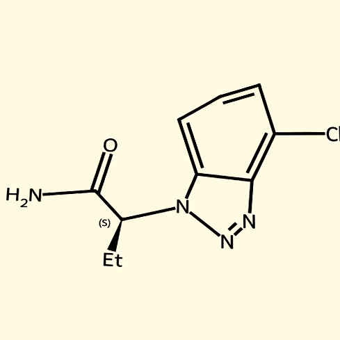 CC[C@@H](C(N)=O)n1nnc2c(Cl)cccc21